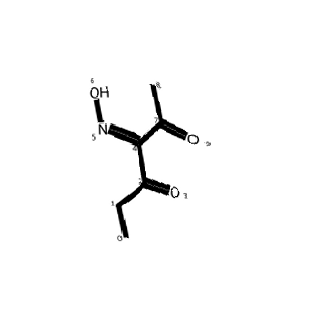 CCC(=O)C(=NO)C(C)=O